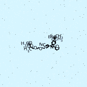 C[C@H](COCCOCCn1cc(-c2nn(C3CCCCO3)c3ccc(O[Si](C)(C)C(C)(C)C)cc23)cc1C#N)OS(C)(=O)=O